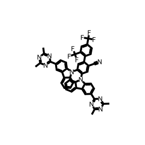 Cc1nc(C)nc(-c2ccc3c(c2)c2ccccc2n3-c2cc(C#N)c(-c3ccc(C(F)(F)F)cc3C(F)(F)F)cc2-n2c3ccccc3c3cc(-c4nc(C)nc(C)n4)ccc32)n1